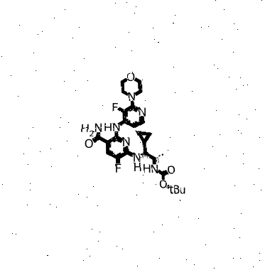 C[C@H](NC(=O)OC(C)(C)C)[C@H](Nc1nc(Nc2ccnc(N3CCOCC3)c2F)c(C(N)=O)cc1F)C1CC1